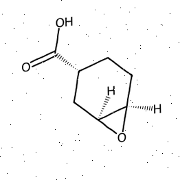 O=C(O)[C@@H]1CC[C@H]2O[C@H]2C1